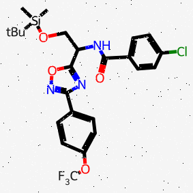 CC(C)(C)[Si](C)(C)OCC(NC(=O)c1ccc(Cl)cc1)c1nc(-c2ccc(OC(F)(F)F)cc2)no1